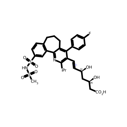 CC(C)c1nc2c(c(-c3ccc(F)cc3)c1/C=C/[C@@H](O)C[C@@H](O)CC(=O)O)CCCc1ccc(S(=O)(=O)NS(C)(=O)=O)cc1-2